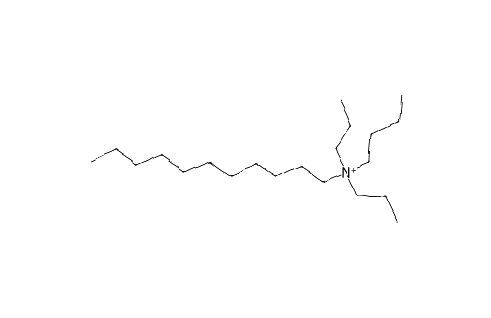 CCCCCCCCCCC[N+](CCC)(CCC)CCCC